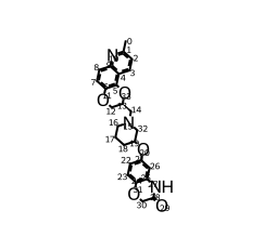 Cc1ccc2c3c(ccc2n1)OC[C@H](CN1CCC[C@H](Oc2ccc4c(c2)NC(=O)CO4)C1)O3